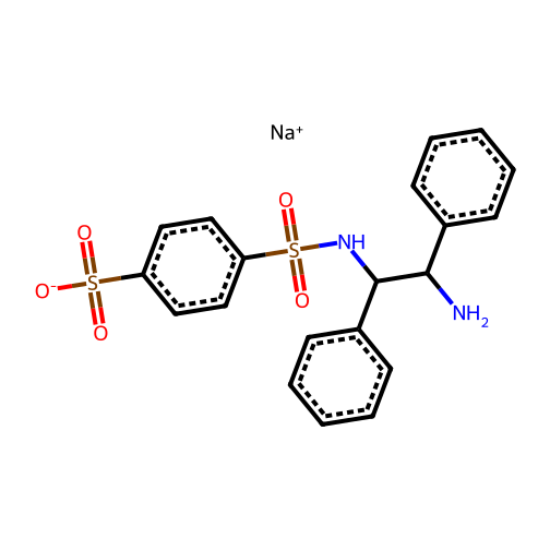 NC(c1ccccc1)C(NS(=O)(=O)c1ccc(S(=O)(=O)[O-])cc1)c1ccccc1.[Na+]